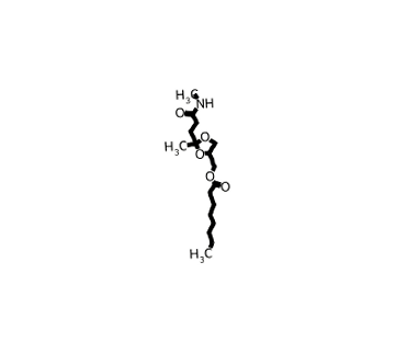 CCCCCCCC(=O)OCC1COC(C)(CCC(=O)NC)O1